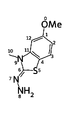 COc1ccc2s/c(=N\N)n(C)c2c1